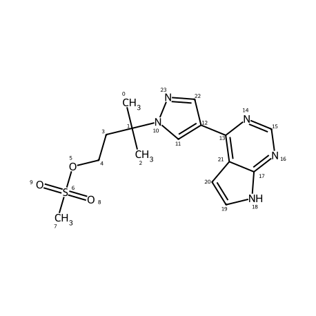 CC(C)(CCOS(C)(=O)=O)n1cc(-c2ncnc3[nH]ccc23)cn1